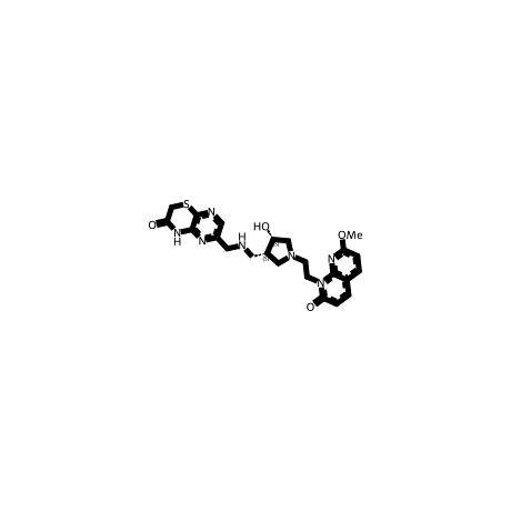 COc1ccc2ccc(=O)n(CCN3C[C@H](CNCc4cnc5c(n4)NC(=O)CS5)[C@H](O)C3)c2n1